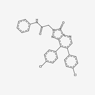 O=C(Cn1nc2c(-c3ccc(Cl)cc3)c(-c3ccc(Cl)cc3)cnn2c1=O)Nc1ccccc1